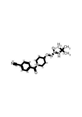 CC(C)(C)N/[N+]([O-])=N/OC1CCN(C(=O)c2ccc(C#N)cc2)CC1